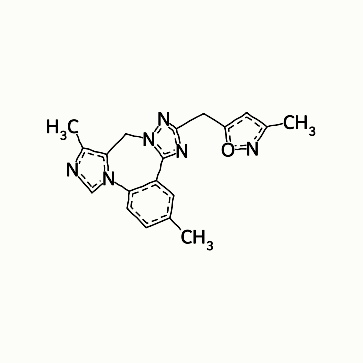 Cc1ccc2c(c1)-c1nc(Cc3cc(C)no3)nn1Cc1c(C)ncn1-2